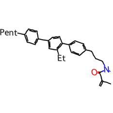 C=C(C)C(=O)N(C)CCCc1ccc(-c2ccc(-c3ccc(CCCCC)cc3)cc2CC)cc1